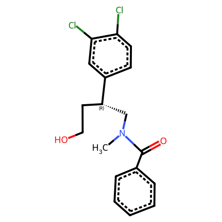 CN(C[C@H](CCO)c1ccc(Cl)c(Cl)c1)C(=O)c1ccccc1